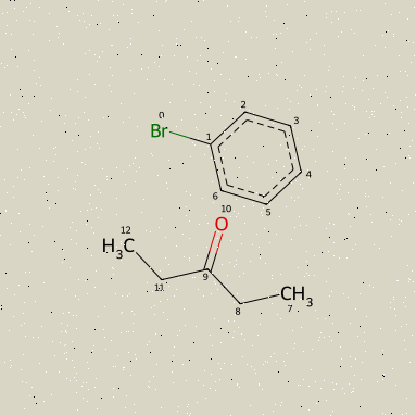 Brc1ccccc1.CCC(=O)CC